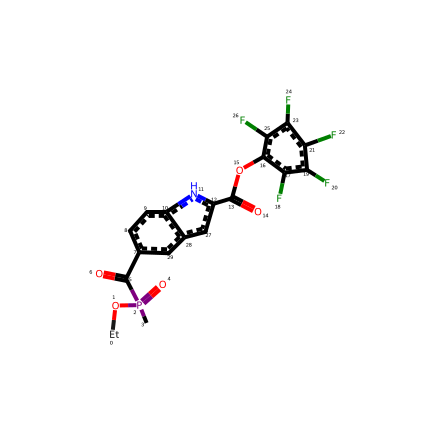 CCOP(C)(=O)C(=O)c1ccc2[nH]c(C(=O)Oc3c(F)c(F)c(F)c(F)c3F)cc2c1